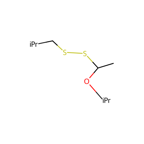 CC(C)CSSC(C)OC(C)C